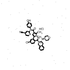 Cc1c(C(=O)N(c2ccc(O)cc2)c2cc(C#N)ccn2)cc(-c2cc(Cl)ccc2C(=O)N2Cc3ccccc3C[C@H]2CN2CCOCC2)n1C.Cl